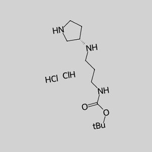 CC(C)(C)OC(=O)NCCCN[C@H]1CCNC1.Cl.Cl